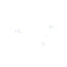 Cl.c1ccc(Nc2c3ccccc3nc3ccccc23)cc1